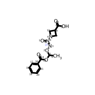 CC(O/N=[N+](\[O-])N1CC(C(=O)O)C1)OC(=O)c1ccccc1